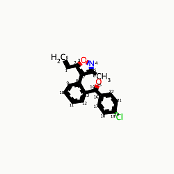 C=Cc1onc(C)c1-c1ccccc1C(=O)c1ccc(Cl)cc1